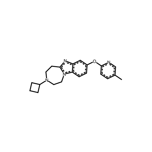 Cc1ccc(Oc2ccc3c(c2)nc2n3CCN(C3CCC3)CC2)nc1